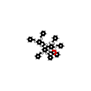 O=C(O[C@@H]1Cc2c(OCc3ccccc3)cc(OCc3ccccc3)cc2O[C@H]1c1cc(OCc2ccccc2)c(OCc2ccccc2)c(OCc2ccccc2)c1)c1cc(OCc2ccccc2)c(OCc2ccccc2)c(OCc2ccccc2)c1F